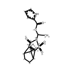 CC(OC(=O)c1ccc[nH]1)N1C(=O)C2=C(C3CCC2C3(C)C)S1(=O)=O